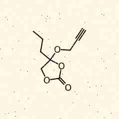 C#CCOC1(CCC)COC(=O)O1